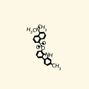 Cc1ccc2c(c1)[nH]c1c(OS(=O)(=O)c3cccc4c(N(C)C)cccc34)cccc12